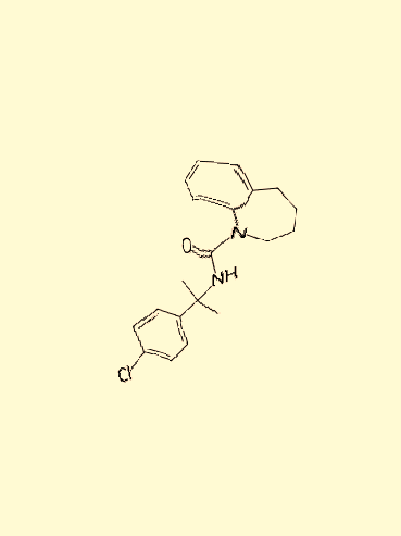 CC(C)(NC(=O)N1CCCCc2ccccc21)c1ccc(Cl)cc1